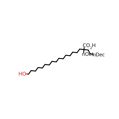 CCCCCCCCCCCCC(CCCCCCCC)(CCCCCCCCCCCCCCCCO)C(=O)O